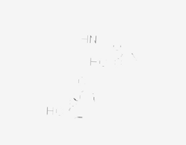 C=C(C)C(=O)OCCNCCCC.C=C(CCCO)C(=O)OCCC.C=CC(=O)O